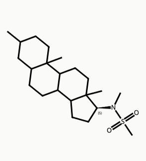 CC1CCC2(C)C(CCC3C2CCC2(C)C3CC[C@@H]2N(C)S(C)(=O)=O)C1